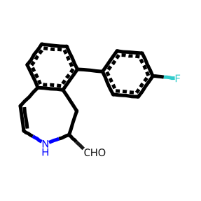 O=CC1Cc2c(cccc2-c2ccc(F)cc2)C=CN1